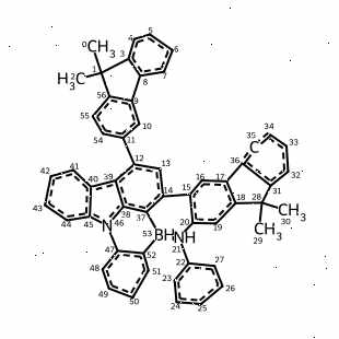 CC1(C)c2ccccc2-c2cc(-c3cc(-c4cc5c(cc4Nc4ccccc4)C(C)(C)c4ccccc4-5)c4c5c3c3ccccc3n5-c3ccccc3B4)ccc21